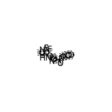 O=C(c1cnc(NC2CC(F)(F)c3ncccc32)nc1)N1CCC2(CCOCC2)C1